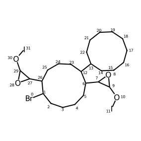 BrC1CCCCC(C2OC2OI)C(C2CCCCCCCCC2)CCCC1C1OC1OI